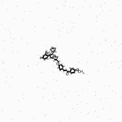 COc1ccc(C(=O)C=Cc2ccc(OCc3cn(CC(O)(Cn4cncn4)c4ccc(F)cc4F)nn3)cc2)cc1